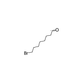 O=[C]CCCCCCCBr